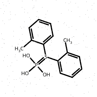 Cc1ccccc1S(c1ccccc1C)=P(O)(O)O